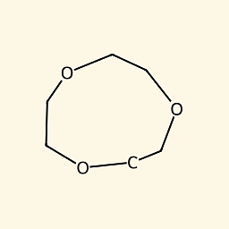 C1COCCOCCO1